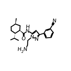 CC(C)[C@@H]1CC[C@@H](C)C[C@H]1C(=O)Nc1cc(-c2cccc(C#N)c2)nn1CCN